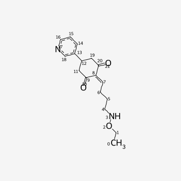 CCONCCCC=C1C(=O)CC(c2cccnc2)CC1=O